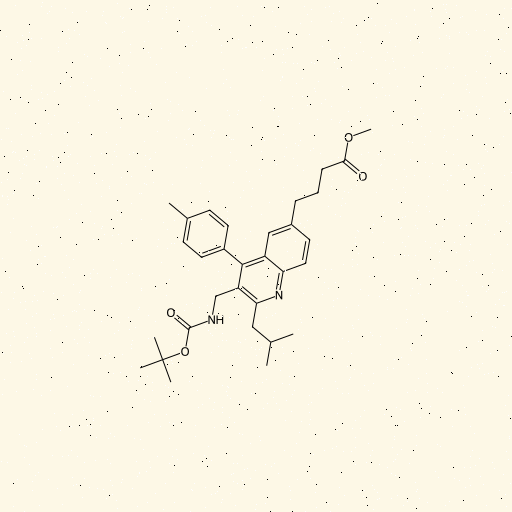 COC(=O)CCCc1ccc2nc(CC(C)C)c(CNC(=O)OC(C)(C)C)c(-c3ccc(C)cc3)c2c1